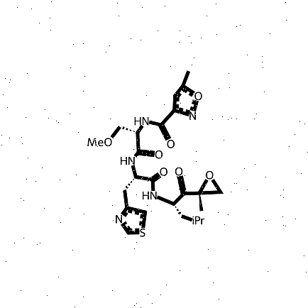 COC[C@H](NC(=O)c1cc(C)on1)C(=O)N[C@@H](Cc1cscn1)C(=O)N[C@@H](CC(C)C)C(=O)[C@@]1(C)CO1